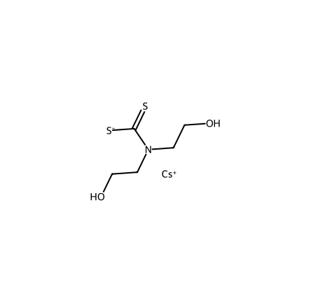 OCCN(CCO)C(=S)[S-].[Cs+]